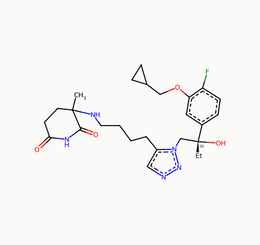 CC[C@@](O)(Cn1nncc1CCCCNC1(C)CCC(=O)NC1=O)c1ccc(F)c(OCC2CC2)c1